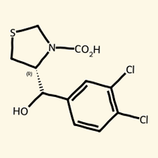 O=C(O)N1CSC[C@H]1C(O)c1ccc(Cl)c(Cl)c1